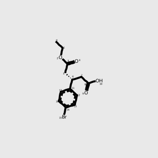 CCOC(=O)C[C@H](CC(=O)O)c1ccc(Br)cc1